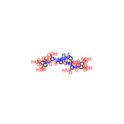 Cc1ccc(C(=O)Nc2cc(C(=O)O)cc(C(=O)Nc3ccc(S(=O)(=O)O)c4cc(S(=O)(=O)O)cc(S(=O)(=O)O)c34)c2)cc1NC(=O)Nc1cc(C(=O)Nc2cc(C(=O)O)cc(C(=O)Nc3ccc(S(=O)(=O)O)c4cc(S(=O)(=O)O)cc(S(=O)(=O)O)c34)c2)ccc1C